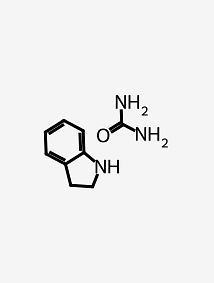 NC(N)=O.c1ccc2c(c1)CCN2